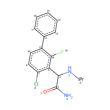 CC(C)NC(C(N)=O)c1c(Cl)ccc(-c2ccccc2)c1F